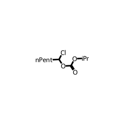 CCCCCC(Cl)OC(=O)OC(C)C